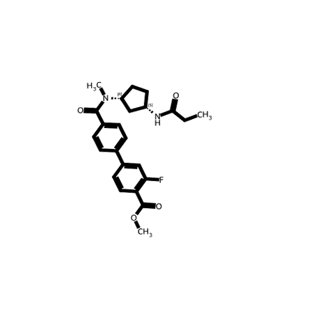 CCC(=O)N[C@H]1CC[C@@H](N(C)C(=O)c2ccc(-c3ccc(C(=O)OC)c(F)c3)cc2)C1